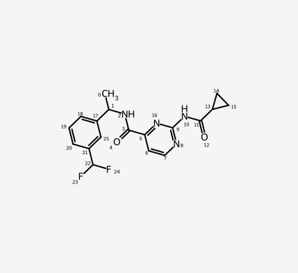 CC(NC(=O)c1ccnc(NC(=O)C2CC2)n1)c1cccc(C(F)F)c1